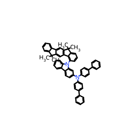 CC1(C)c2ccccc2-c2cc3c(cc21)-c1c(-n2c4ccccc4c4ccc(N(c5ccc(-c6ccccc6)cc5)c5ccc(-c6ccccc6)cc5)cc42)cccc1C3(C)C